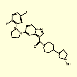 O=C(c1cnn2ccc(N3CCC[C@@H]3c3cc(F)ccc3F)cc12)N1CCC(N2CC[C@H](O)C2)CC1